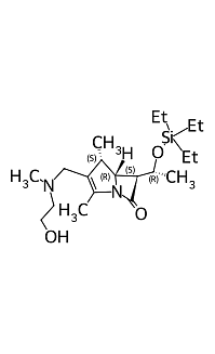 CC[Si](CC)(CC)O[C@H](C)[C@H]1C(=O)N2C(C)=C(CN(C)CCO)[C@H](C)[C@H]12